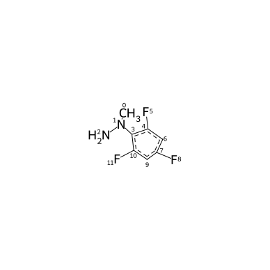 CN(N)c1c(F)cc(F)cc1F